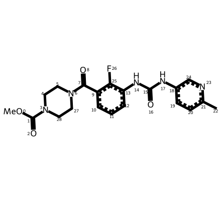 COC(=O)N1CCN(C(=O)c2cccc(NC(=O)Nc3ccc(C)nc3)c2F)CC1